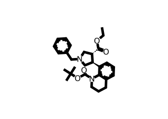 CCOC(=O)[C@H]1CN(Cc2ccccc2)C[C@@H]1c1cccc2c1N(C(=O)OC(C)(C)C)CCC2